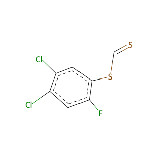 Fc1cc(Cl)c(Cl)cc1SC=S